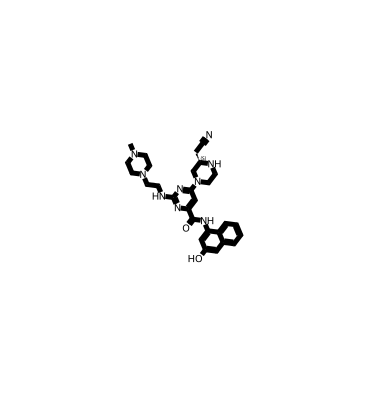 CN1CCN(CCNc2nc(C(=O)Nc3cc(O)cc4ccccc34)cc(N3CCN[C@@H](CC#N)C3)n2)CC1